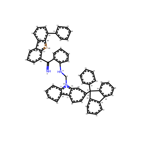 N=C(c1ccccc1NCn1c2ccccc2c2ccc(C3(c4ccccc4)c4ccccc4-c4ccccc43)cc21)c1cccc2c1sc1c(-c3ccccc3)cccc12